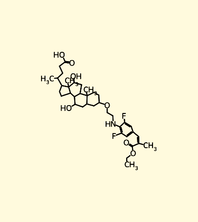 CCOC(=O)C(C)=Cc1cc(F)c(NCCOC2CCC3(C)C(C2)CC(O)C2C3CC(O)C3(C)C(C(C)CCC(=O)O)CCC23)c(F)c1